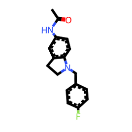 CC(=O)Nc1ccc2c(c1)CCN2Cc1ccc(F)cc1